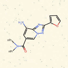 CCCN(CCC)C(=O)c1cc(N)c2nc(-c3ccco3)nn2c1